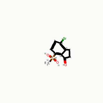 O=C1CCc2c(Br)ccc(S(=O)(=O)C(F)(F)F)c21